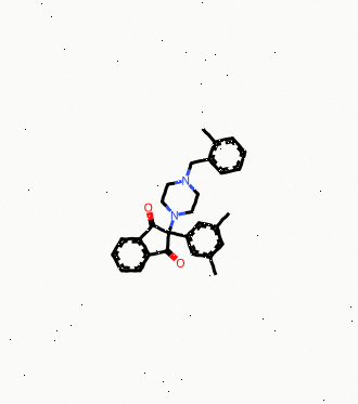 Cc1cc(C)cc(C2(N3CCN(Cc4ccccc4C)CC3)C(=O)c3ccccc3C2=O)c1